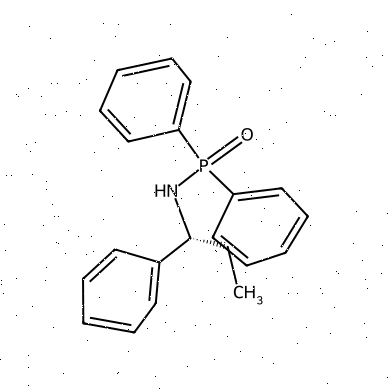 CC[C@@H](NP(=O)(c1ccccc1)c1ccccc1)c1ccccc1